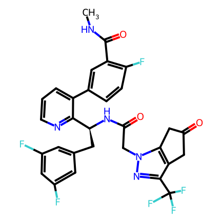 CNC(=O)c1cc(-c2cccnc2[C@H](Cc2cc(F)cc(F)c2)NC(=O)Cn2nc(C(F)(F)F)c3c2CC(=O)C3)ccc1F